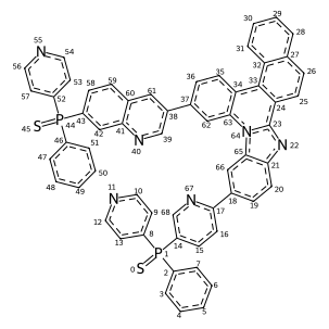 S=P(c1ccccc1)(c1ccncc1)c1ccc(-c2ccc3nc4c5ccc6ccccc6c5c5ccc(-c6cnc7cc(P(=S)(c8ccccc8)c8ccncc8)ccc7c6)cc5n4c3c2)nc1